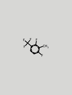 Cc1c(F)ccc(C(F)(F)F)c1F